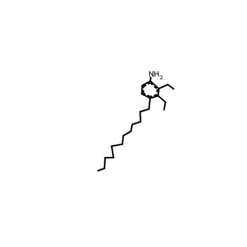 CCCCCCCCCCCCc1ccc(N)c(CC)c1CC